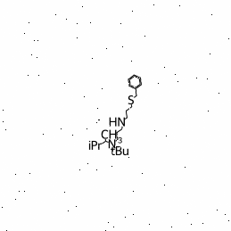 CC(C)C(C)N(CCCNCCCSCc1ccccc1)C(C)(C)C